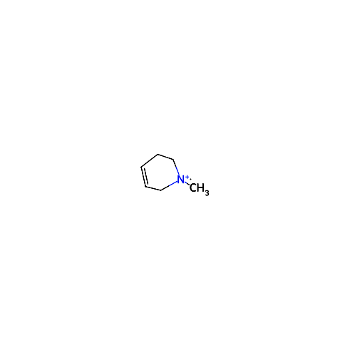 C[N+]1CC=CCC1